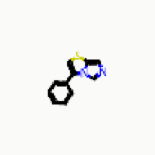 c1ccc(-c2csc3cncn23)cc1